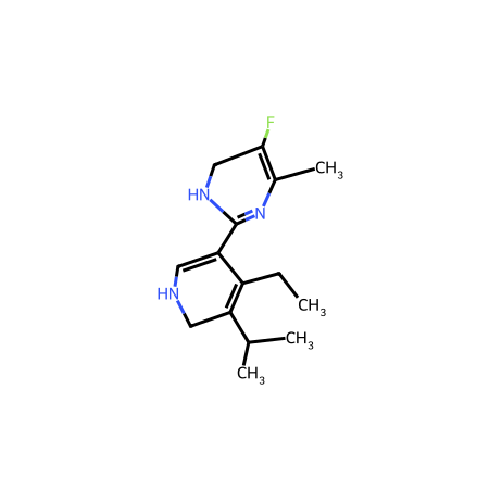 CCC1=C(C(C)C)CNC=C1C1=NC(C)=C(F)CN1